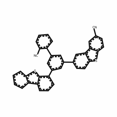 N#Cc1ccc2sc3ccc(-c4cc(-c5ccccc5C#N)cc(-c5cccc6c5sc5ccccc56)c4)cc3c2c1